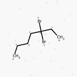 CCCCC(Br)(Br)CC